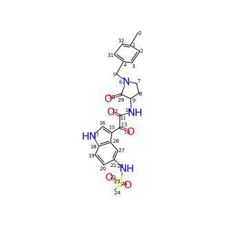 Cc1ccc(CN2CCC(NC(=O)C(=O)c3c[nH]c4ccc(NS(C)(=O)=O)cc34)C2=O)cc1